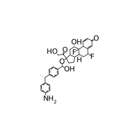 C[C@@H](c1ccc(N)cc1)c1ccc([C@H](O)O[C@]2(C(=O)CO)CCC3[C@@H]4C[C@H](F)C5=CC(=O)C=C[C@]5(C)[C@@]4(F)[C@@H](O)C[C@@]32C)cc1